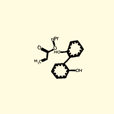 C=CC(=O)OCCC.Oc1ccccc1-c1ccccc1O